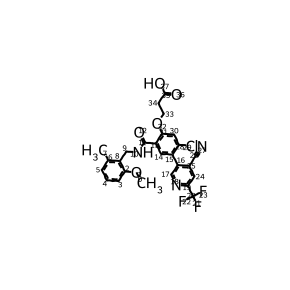 COc1cccc(C)c1CNC(=O)c1cc(-c2cnc(C(F)(F)F)cc2C#N)c(Cl)cc1OCCC(=O)O